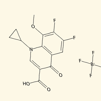 COc1c(F)c(F)cc2c(=O)c(C(=O)O)cn(C3CC3)c12.F[B-](F)(F)F